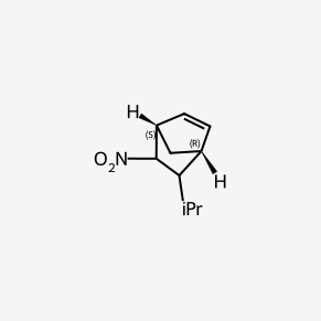 CC(C)C1C([N+](=O)[O-])[C@@H]2C=C[C@H]1C2